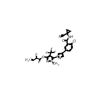 C=CC(F)C(F)Oc1nn(C)c(-n2cc(-c3ccc(Cl)c(C(=O)NC4(C#N)CC4)c3)cn2)c1C(F)(F)F